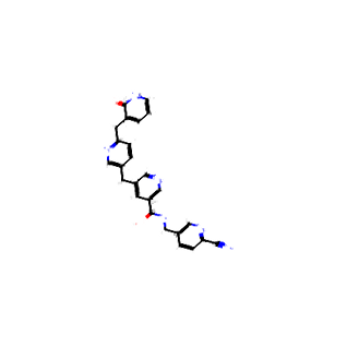 N#Cc1ccc(CNC(=O)c2cncc(Cc3ccc(Cc4ccc[nH]c4=O)nc3)c2)cn1